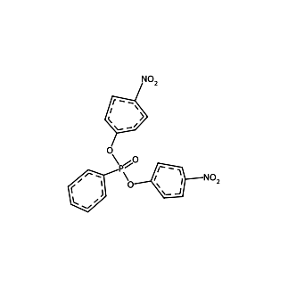 O=[N+]([O-])c1ccc(OP(=O)(Oc2ccc([N+](=O)[O-])cc2)c2ccccc2)cc1